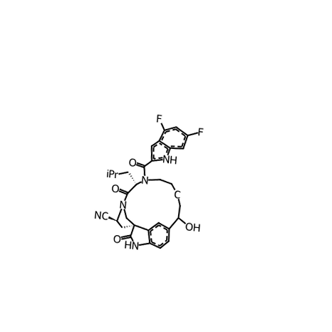 CC(C)C[C@H]1C(=O)N2C[C@]3(C[C@H]2C#N)C(=O)Nc2ccc(cc23)C(O)CCCCN1C(=O)c1cc2c(F)cc(F)cc2[nH]1